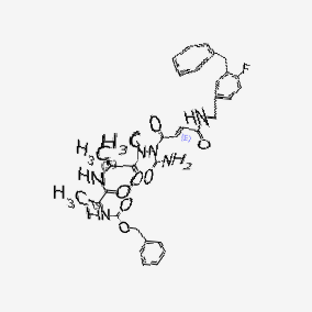 C[C@H](NC(=O)OCc1ccccc1)C(=O)N[C@@H](C)C(=O)N(C)N(C(N)=O)C(=O)/C=C/C(=O)NCc1ccc(F)c(Cc2ccccc2)c1